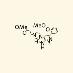 COCOc1ccccc1-c1cc2c(nn1)NC[C@H]1CN(CCC(=O)OC)CCN21